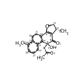 CC(=O)C[C@@]1(O)C(=O)C2=C(OC[C@@H]2C)c2ccc3c(C)cccc3c21